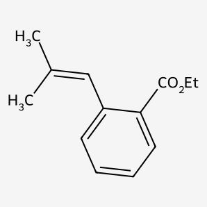 CCOC(=O)c1ccccc1C=C(C)C